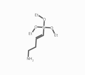 CCO[Si](C=CCCN)(OCC)OCC